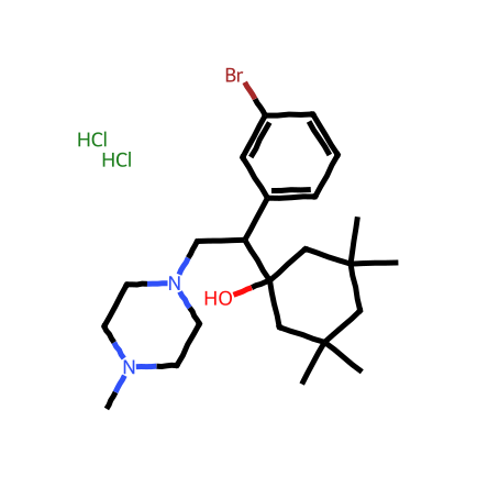 CN1CCN(CC(c2cccc(Br)c2)C2(O)CC(C)(C)CC(C)(C)C2)CC1.Cl.Cl